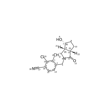 Cc1c(CN2C[C@@H]3[C@H](O)CC[C@@H]3C2=O)ccc(C#N)c1Cl